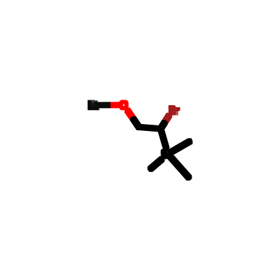 [CH2]COCC(Br)[Si](C)(C)C